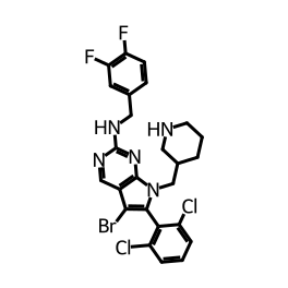 Fc1ccc(CNc2ncc3c(Br)c(-c4c(Cl)cccc4Cl)n(CC4CCCNC4)c3n2)cc1F